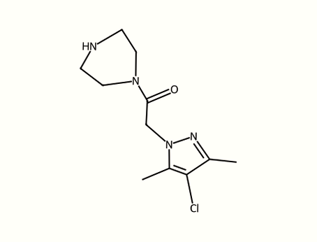 Cc1nn(CC(=O)N2CCNCC2)c(C)c1Cl